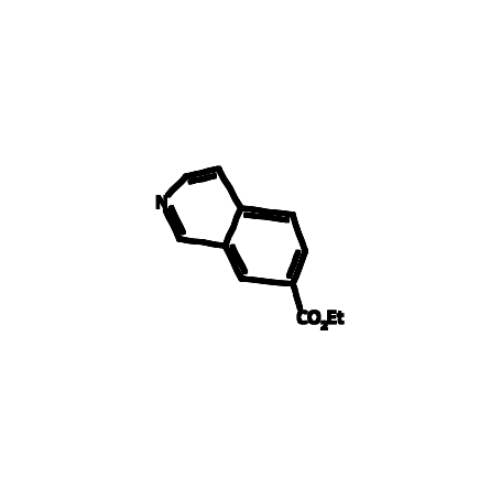 CCOC(=O)c1ccc2ccncc2c1